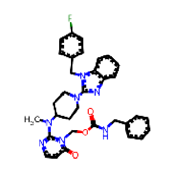 CN(c1nccc(=O)n1COC(=O)NCc1ccccc1)C1CCN(c2nc3ccccc3n2Cc2ccc(F)cc2)CC1